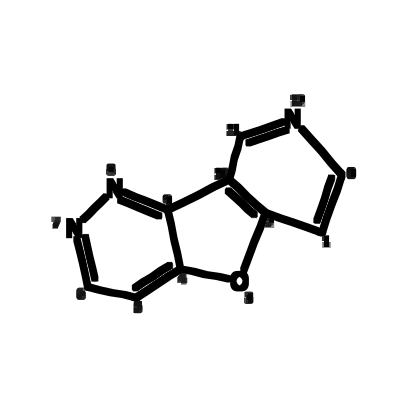 c1cc2oc3ccnnc3c2cn1